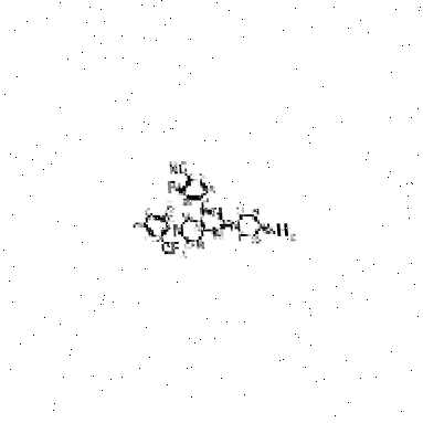 N#Cc1ccc(-c2nc(N3CCC(N)CC3)nc3c2CN(c2c(F)cccc2C(F)(F)F)CC3)cc1F